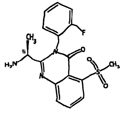 C[C@H](N)c1nc2cccc(S(C)(=O)=O)c2c(=O)n1-c1ccccc1F